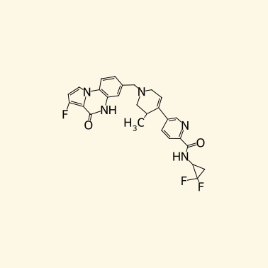 CC1CN(Cc2ccc3c(c2)[nH]c(=O)c2c(F)ccn23)CC=C1c1ccc(C(=O)NC2CC2(F)F)nc1